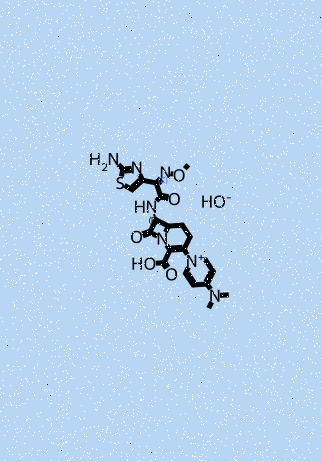 CO/N=C(\C(=O)N[C@H]1C(=O)N2C(C(=O)O)=C([n+]3ccc(N(C)C)cc3)CCC12)c1csc(N)n1.[OH-]